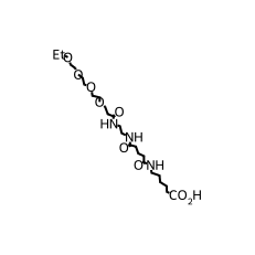 CCOCCOCCOCCOCCC(=O)NCCNC(=O)CCCC(=O)NCCCCCC(=O)O